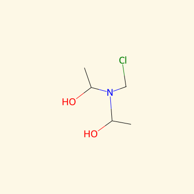 CC(O)N(CCl)C(C)O